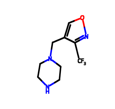 FC(F)(F)c1nocc1CN1CCNCC1